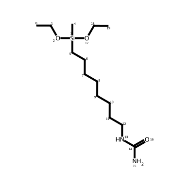 CCO[Si](C)(CCCCCCCCNC(N)=O)OCC